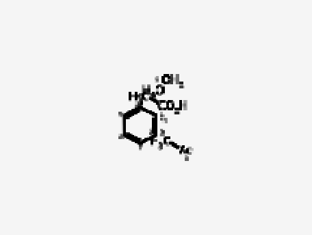 CC(=O)O.CC(C)=O.O.O.c1ccccc1